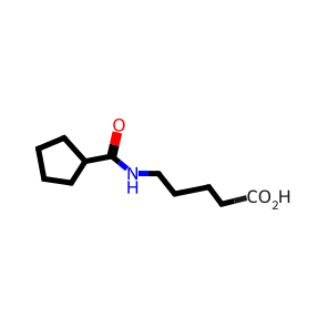 O=C(O)CCCCNC(=O)C1CCCC1